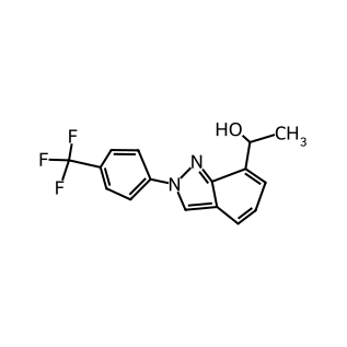 CC(O)c1cccc2cn(-c3ccc(C(F)(F)F)cc3)nc12